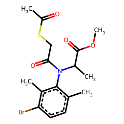 COC(=O)C(C)N(C(=O)CSC(C)=O)c1c(C)ccc(Br)c1C